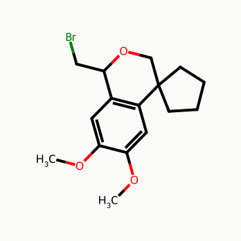 COc1cc2c(cc1OC)C1(CCCC1)COC2CBr